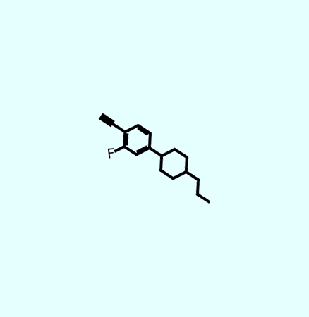 C#Cc1ccc(C2CCC(CCC)CC2)cc1F